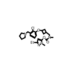 CCc1cc(OC(=O)N(C)CC2CC(Oc3cccc(CN4CCCC4)c3Cl)C2)n(C)n1